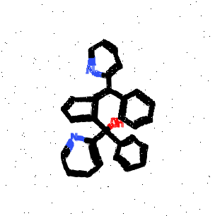 OC(C1=CC=C/C1=C(/c1ccccc1)c1ccccn1)(c1ccccc1)c1ccccn1